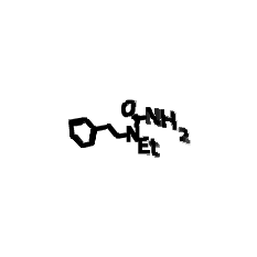 CCN(CCc1ccccc1)C(N)=O